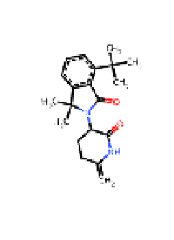 C=C1CCC(N2C(=O)c3c(C(C)(C)C)cccc3C2(C)C)C(=O)N1